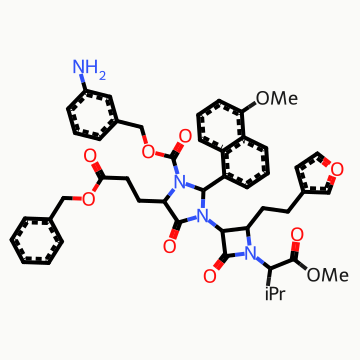 COC(=O)C(C(C)C)N1C(=O)C(N2C(=O)C(CCC(=O)OCc3ccccc3)N(C(=O)OCc3cccc(N)c3)C2c2cccc3c(OC)cccc23)C1CCc1ccoc1